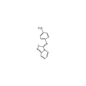 O=[N+]([O-])c1ccc(N=c2snc3ccccn23)cc1